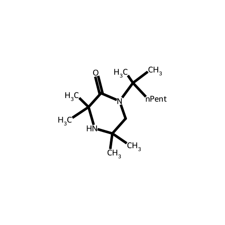 CCCCCC(C)(C)N1CC(C)(C)NC(C)(C)C1=O